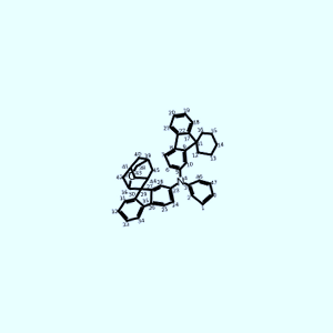 c1ccc(N(c2ccc3c(c2)C2(CCCCC2)c2ccccc2-3)c2ccc3c(c2)C2(c4ccccc4-3)C3CCC4CC(C3)CC2C4)cc1